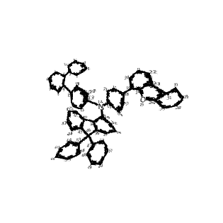 c1ccc(-c2ccccc2-c2ccc(N(c3ccc(-c4cccc5c4oc4ccccc45)cc3)c3cccc4c3-c3ccccc3C4(c3ccccc3)c3ccccc3)cc2)cc1